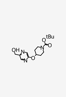 CC(C)(C)OC(=O)N1CCC(Oc2cnc(CO)cn2)CC1